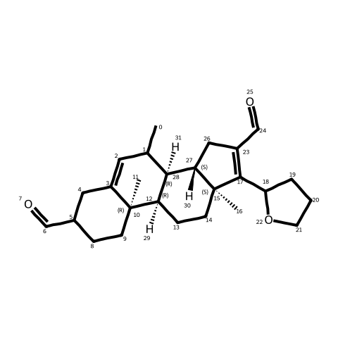 CC1C=C2CC(C=O)CC[C@]2(C)[C@@H]2CC[C@]3(C)C(C4CCCO4)=C(C=O)C[C@H]3[C@H]12